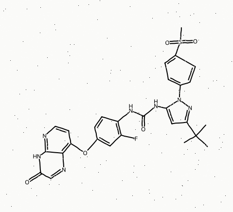 CC(C)(C)c1cc(NC(=O)Nc2ccc(Oc3ccnc4[nH]c(=O)cnc34)cc2F)n(-c2ccc(S(C)(=O)=O)cc2)n1